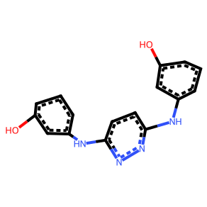 Oc1cccc(Nc2ccc(Nc3cccc(O)c3)nn2)c1